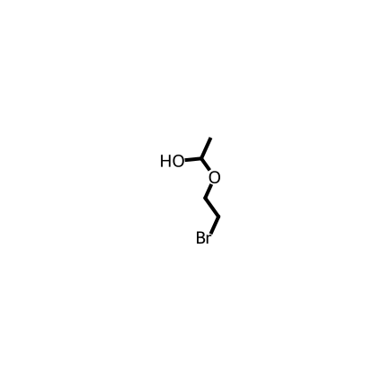 CC(O)OCCBr